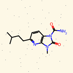 CC(C)CCc1ccc2c(n1)n(C)c(=O)n2C(N)=O